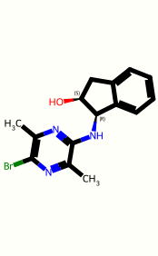 Cc1nc(N[C@@H]2c3ccccc3C[C@@H]2O)c(C)nc1Br